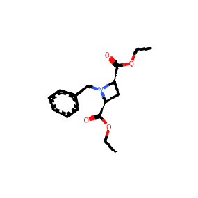 CCOC(=O)[C@H]1C[C@@H](C(=O)OCC)N1Cc1ccccc1